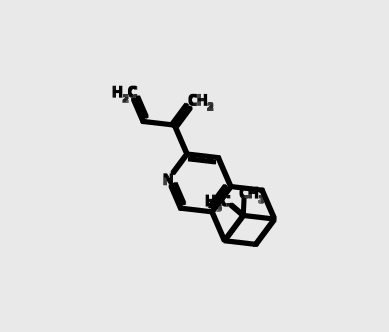 C=CC(=C)c1cc2c(cn1)C1CC(C2)C1(C)C